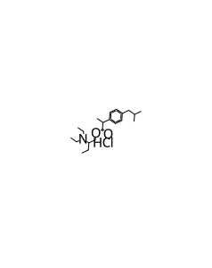 CCC(COC(=O)C(C)c1ccc(CC(C)C)cc1)N(CC)CC.Cl